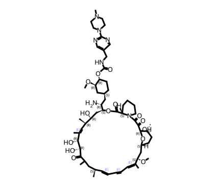 CO[C@H]1C[C@@H]2CC[C@@H](C)[C@@](O)(O2)C(=O)C(=O)N2CCCC[C@H]2C(=O)O[C@H]([C@H](N)C[C@@H]2CC[C@@H](OC(=O)NCc3cnc(N4CCN(C)CC4)nc3)[C@H](OC)C2)C[C@@H](O)[C@H](C)/C=C(\C)[C@@H](O)[C@@H](O)C(=O)C(C)C[C@H](C)/C=C/C=C/C=C/1C